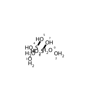 O.O.O.O.O=S(=O)(O)O.O=S(=O)(O)O